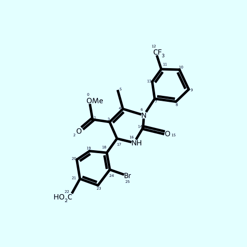 COC(=O)C1=C(C)N(c2cccc(C(F)(F)F)c2)C(=O)NC1c1ccc(C(=O)O)cc1Br